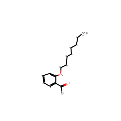 CCC(=O)c1ccccc1OCCCCCCCC(=O)O